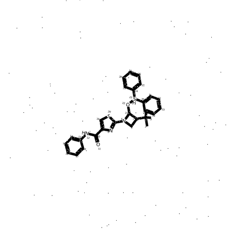 CC(C)(C)C1CN(c2nc(C(=O)Nc3ccccc3)cs2)C1O[SiH](c1ccccc1)c1ccccc1